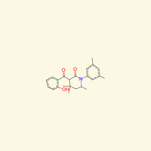 Cc1cc(C)cc(N2C(=O)C(C(=O)c3ccccc3O)C(C)(C)CC2C)c1